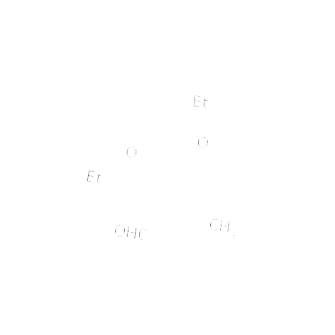 CCOC(OCC)C(C)C=O